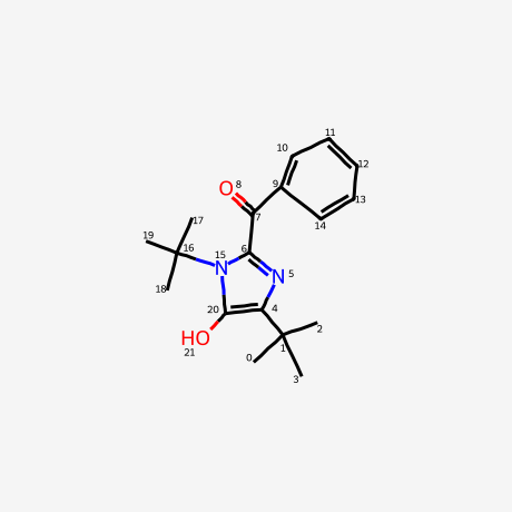 CC(C)(C)c1nc(C(=O)c2ccccc2)n(C(C)(C)C)c1O